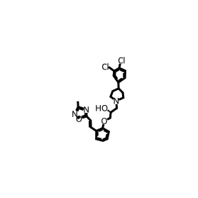 Cc1noc(C=Cc2ccccc2OC[C@@H](O)CN2CCC(c3ccc(Cl)c(Cl)c3)CC2)n1